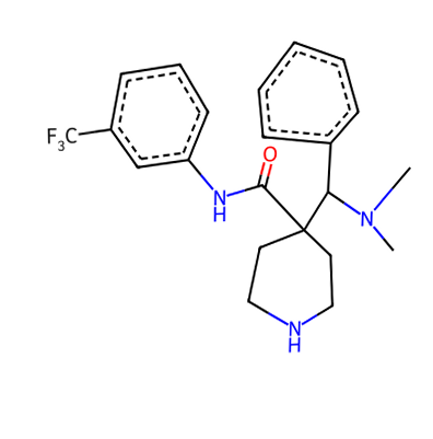 CN(C)C(c1ccccc1)C1(C(=O)Nc2cccc(C(F)(F)F)c2)CCNCC1